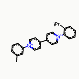 Cc1cccc(-[n+]2ccc(-c3cc[n+](-c4ccccc4C(C)C)cc3)cc2)c1